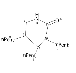 CCCCCC1CNC(=O)C(CCCCC)C1CCCCC